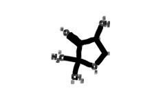 CC1(C)OCC(O)C1=O